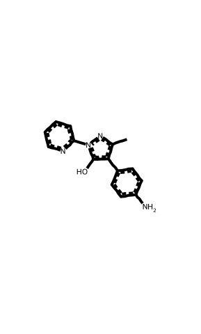 Cc1nn(-c2ccccn2)c(O)c1-c1ccc(N)cc1